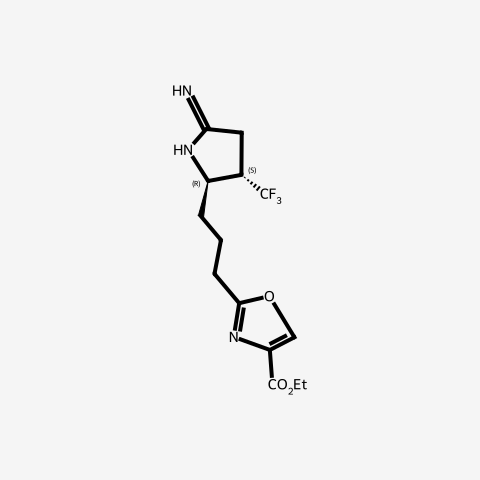 CCOC(=O)c1coc(CCC[C@H]2NC(=N)C[C@@H]2C(F)(F)F)n1